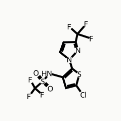 O=S(=O)(Nc1cc(Cl)sc1-n1ccc(C(F)(F)F)n1)C(F)(F)F